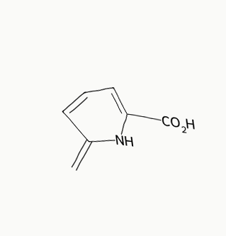 C=C1C=CC=C(C(=O)O)N1